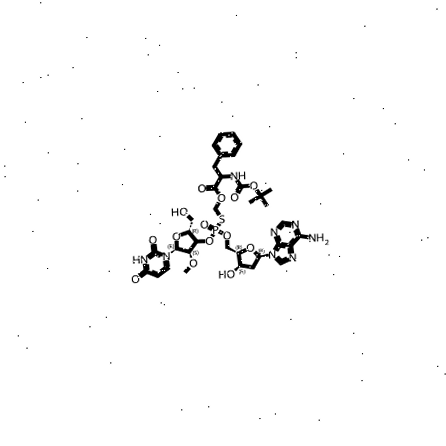 CO[C@H]1C(OP(=O)(OC[C@H]2O[C@@H](n3cnc4c(N)ncnc43)C[C@H]2O)SCOC(=O)C(Cc2ccccc2)NC(=O)OC(C)(C)C)[C@@H](CO)O[C@H]1n1ccc(=O)[nH]c1=O